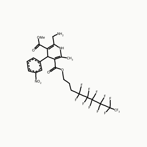 COC(=O)C1=C(CN)NC(C)=C(C(=O)OCCCC(F)(F)C(F)(F)C(F)(F)C(F)(F)C(F)(F)C(F)(F)F)C1c1cccc([N+](=O)[O-])c1